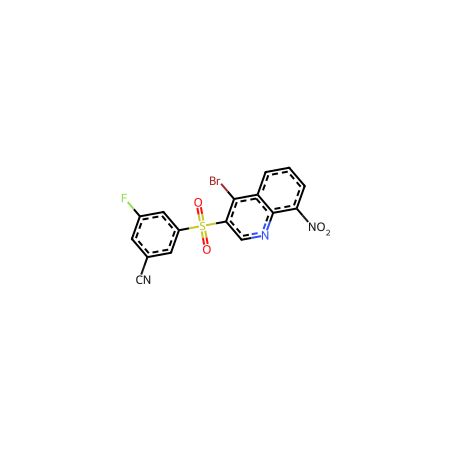 N#Cc1cc(F)cc(S(=O)(=O)c2cnc3c([N+](=O)[O-])cccc3c2Br)c1